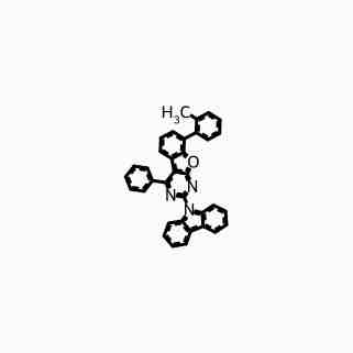 Cc1ccccc1-c1cccc2c1oc1nc(-n3c4ccccc4c4ccccc43)nc(-c3ccccc3)c12